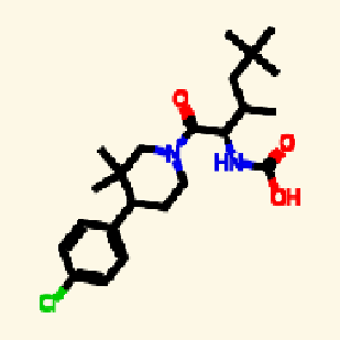 CC(CC(C)(C)C)[C@@H](NC(=O)O)C(=O)N1CCC(c2ccc(Cl)cc2)C(C)(C)C1